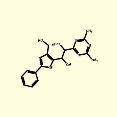 CCCCCCC(c1nc(N)nc(N)n1)C(O)c1[nH]c(-c2ccccc2)nc1CO